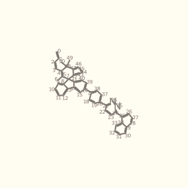 C=C/C=C\C1=C(C)C2(c3ccccc3-c3cc(-c4ccc(-c5ccc(-c6cccc7ccccc67)nn5)cc4)ccc32)c2ccccc2C1(C)C